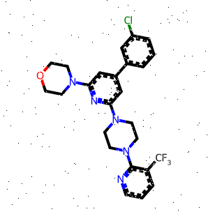 FC(F)(F)c1cccnc1N1CCN(c2cc(-c3cccc(Cl)c3)cc(N3CCOCC3)n2)CC1